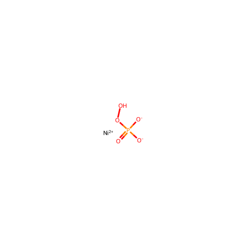 O=P([O-])([O-])OO.[Ni+2]